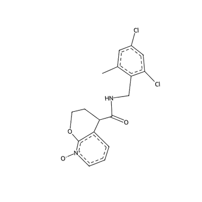 Cc1cc(Cl)cc(Cl)c1CNC(=O)C1CCOc2c1ccc[n+]2[O-]